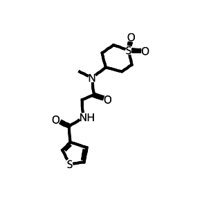 CN(C(=O)CNC(=O)c1ccsc1)C1CCS(=O)(=O)CC1